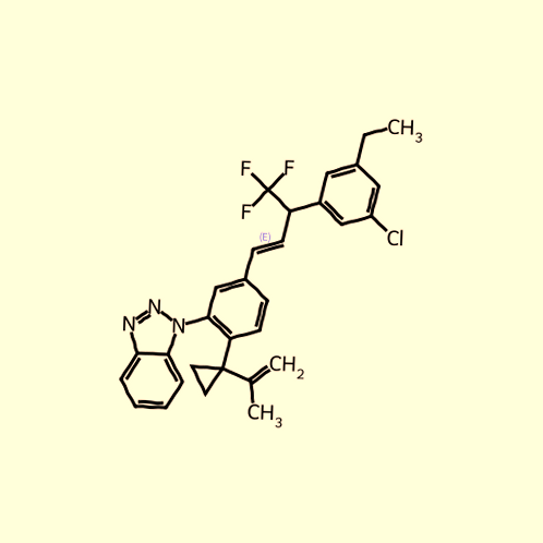 C=C(C)C1(c2ccc(/C=C/C(c3cc(Cl)cc(CC)c3)C(F)(F)F)cc2-n2nnc3ccccc32)CC1